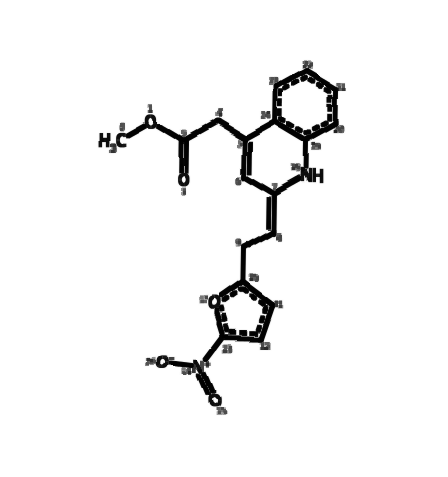 COC(=O)CC1=C/C(=C\Cc2ccc([N+](=O)[O-])o2)Nc2ccccc21